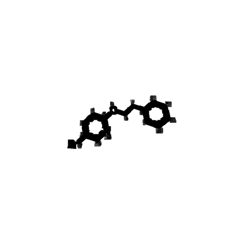 Brc1ccc(OCCc2ccccc2)nc1